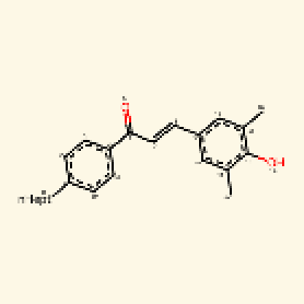 CCCCCCCc1ccc(C(=O)C=Cc2cc(C)c(O)c(C)c2)cc1